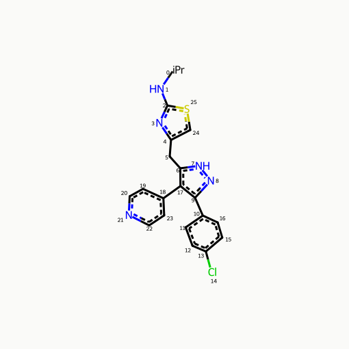 CC(C)Nc1nc(Cc2[nH]nc(-c3ccc(Cl)cc3)c2-c2ccncc2)cs1